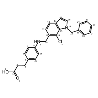 O=C(O)CCc1ccc(NCc2ccc3ccn(Cc4ccccc4)c3c2Cl)cc1